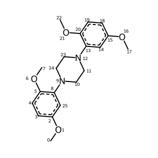 COc1ccc(OC)c(N2CCN(c3cc(OC)ccc3OC)CC2)c1